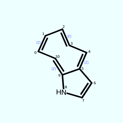 C1=C\C=C\C=c2\cc[nH]\c2=C/1